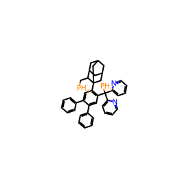 PCC1C2CC3CC(C2)CC1(c1cc(-c2ccccc2)c(-c2ccccc2)cc1C(P)(c1ccccn1)c1ccccn1)C3